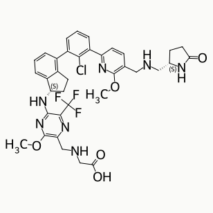 COc1nc(-c2cccc(-c3cccc4c3CC[C@@H]4Nc3nc(OC)c(CNCC(=O)O)nc3C(F)(F)F)c2Cl)ccc1CNC[C@@H]1CCC(=O)N1